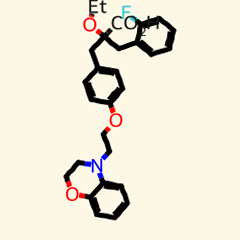 CCOC(Cc1ccc(OCCN2CCOc3ccccc32)cc1)(Cc1ccccc1F)C(=O)O